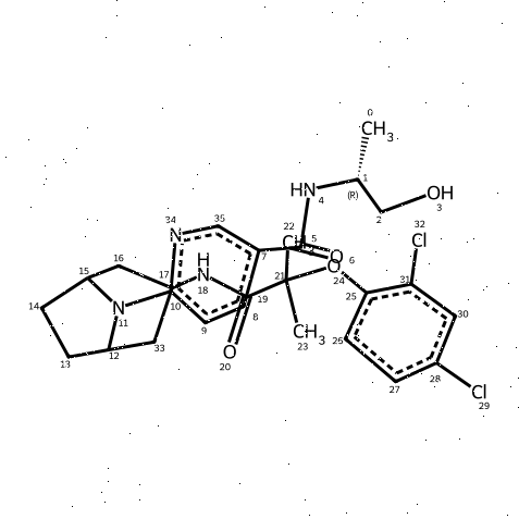 C[C@H](CO)NC(=O)c1ccc(N2C3CCC2CC(NC(=O)C(C)(C)Oc2ccc(Cl)cc2Cl)C3)nc1